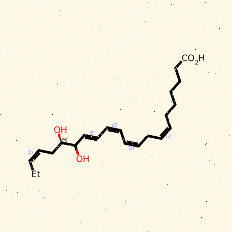 CC/C=C\C[C@@H](O)C(O)/C=C/C=C\C=C/C/C=C\CCCCCC(=O)O